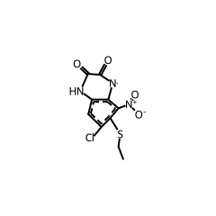 CCSc1c(Cl)cc2c(c1[N+](=O)[O-])[N]C(=O)C(=O)N2